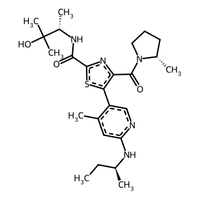 CC[C@H](C)Nc1cc(C)c(-c2sc(C(=O)N[C@@H](C)C(C)(C)O)nc2C(=O)N2CCC[C@@H]2C)cn1